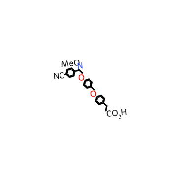 CO/N=C(/COc1ccc(COc2ccc(CCC(=O)O)cc2)cc1)c1ccc(C#N)cc1